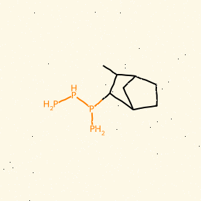 CC1C2CCC(C2)C1P(P)PP